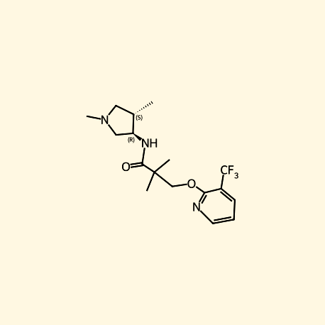 C[C@H]1CN(C)C[C@@H]1NC(=O)C(C)(C)COc1ncccc1C(F)(F)F